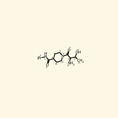 CC(C)NC(=O)C1CCN(C(=O)C(N)C(C)O)CC1